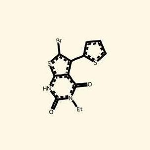 CCn1c(=O)[nH]c2sc(Br)c(-c3cccs3)c2c1=O